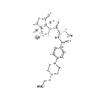 COCCN1CCC(c2ccc(C(=O)N[C@@H](CC(C)C)C(=O)N3C[C@H](N)[C@H]4OCC(=O)[C@H]43)cc2)CC1